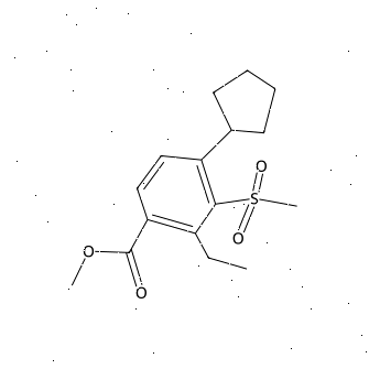 CCc1c(C(=O)OC)ccc(C2CCCC2)c1S(C)(=O)=O